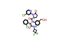 O=C(NC1CC(F)(F)C1)[C@H](c1ccccc1Cl)N(C(=O)[C@@H]1CCC(=O)N1c1cc(Cl)ccn1)c1cccc(CO)c1